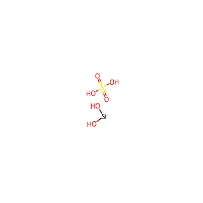 O=S(=O)(O)O.O[Si]O